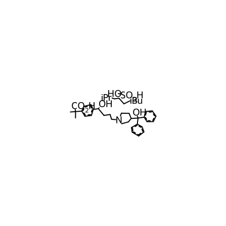 CC(C)(C(=O)O)c1ccc([C@@H](O)CCCN2CCC(C(O)(c3ccccc3)c3ccccc3)CC2)cc1.CCC(C)CCCC(C)C.O=S(=O)(O)O